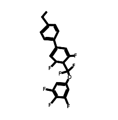 CCc1ccc(C2=CC(F)C(C(F)(F)Oc3cc(F)c(F)c(F)c3)C(F)=C2)cc1